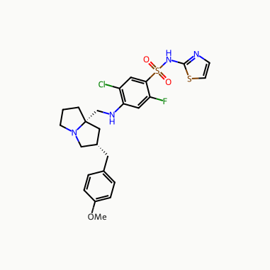 COc1ccc(C[C@@H]2CN3CCC[C@@]3(CNc3cc(F)c(S(=O)(=O)Nc4nccs4)cc3Cl)C2)cc1